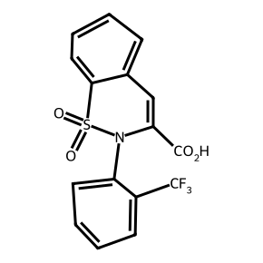 O=C(O)C1=Cc2ccccc2S(=O)(=O)N1c1ccccc1C(F)(F)F